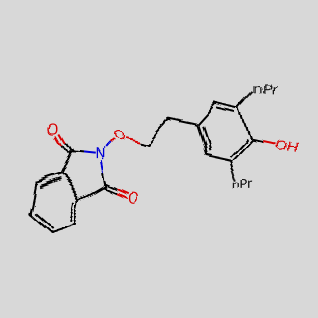 CCCc1cc(CCON2C(=O)c3ccccc3C2=O)cc(CCC)c1O